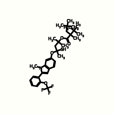 Cn1c(-c2ccccc2OC(F)(F)F)cc2ccc(OC(C)(S)CC(C)(C)OC(=O)C(C)(CC(C)(C)C)C(C)(C)C)cc21